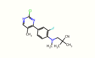 Cc1cnc(Cl)nc1-c1ccc(N(C)CC(C)(C)C#N)c(F)c1